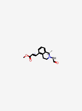 COC(=O)/C=C/c1cccc2c1CCN(BC=O)[C@H]2C